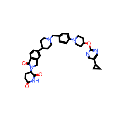 O=C1CCC(N2Cc3cc(C4CCN(Cc5ccc(N6CCC(Oc7ncc(C8CC8)cn7)CC6)cc5)CC4)ccc3C2=O)C(=O)N1